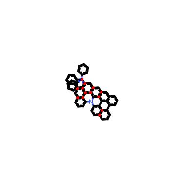 c1ccc(-c2cccc3cccc(-c4ccccc4N(c4ccccc4-c4cccc5c4ccc4ccccc45)c4ccccc4-c4cccc5c4c4ccccc4n5-c4ccccc4)c23)cc1